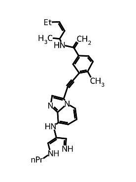 C=C(NC(C)/C=C\CC)c1ccc(C)c(C#Cc2cnc3c(N/C(C=N)=C/NCCC)cccn23)c1